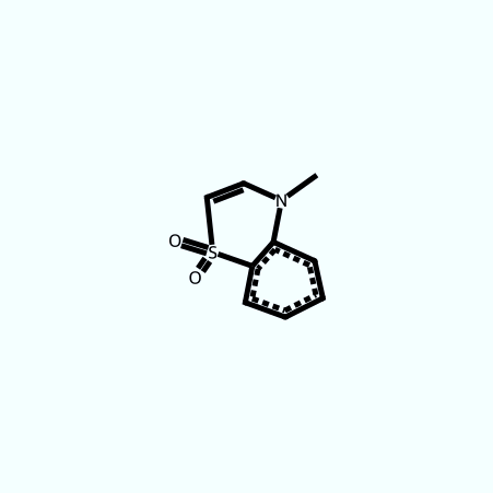 CN1C=CS(=O)(=O)c2ccccc21